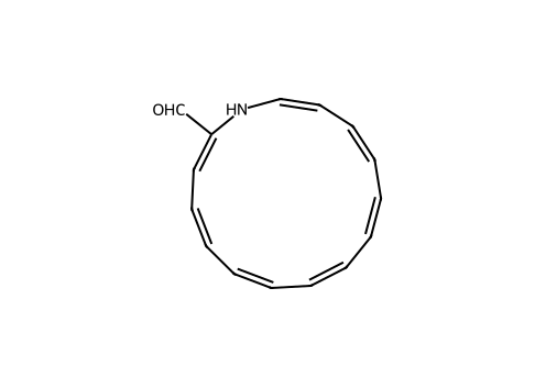 O=CC1=CC=CC=CC=CC=CC=CC=CN1